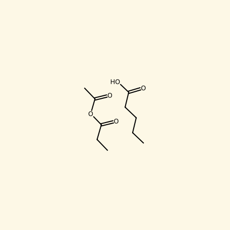 CCC(=O)OC(C)=O.CCCCC(=O)O